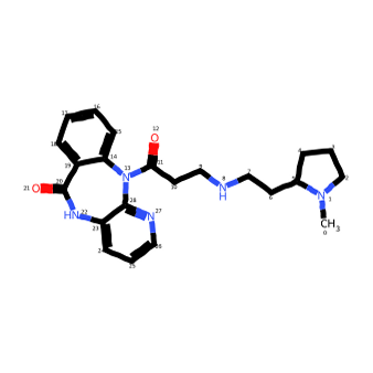 CN1CCCC1CCNCCC(=O)N1c2ccccc2C(=O)Nc2cccnc21